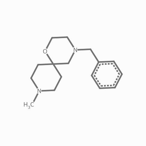 CN1CCC2(CC1)CN(Cc1ccccc1)CCO2